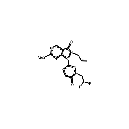 C=CCn1c(=O)c2cnc(SC)nc2n1-c1ccc(=O)n(CC(F)F)n1